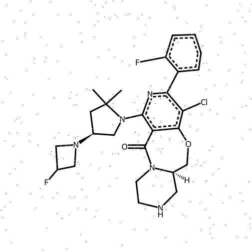 CC1(C)C[C@H](N2CC(F)C2)CN1c1nc(-c2ccccc2F)c(Cl)c2c1C(=O)N1CCNC[C@@H]1CO2